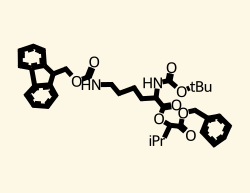 CC(C)C(OC(=O)C(CCCCNC(=O)OCC1c2ccccc2-c2ccccc21)NC(=O)OC(C)(C)C)C(=O)OCc1ccccc1